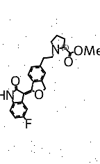 COC(=O)[C@@H]1CCCN1CCc1ccc2c(c1)COC2=C1C(=O)Nc2ccc(F)cc21